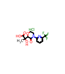 CC(O)(C(=O)O)C1OCCN(c2cccc(C(F)(F)F)n2)C1=O.Cl